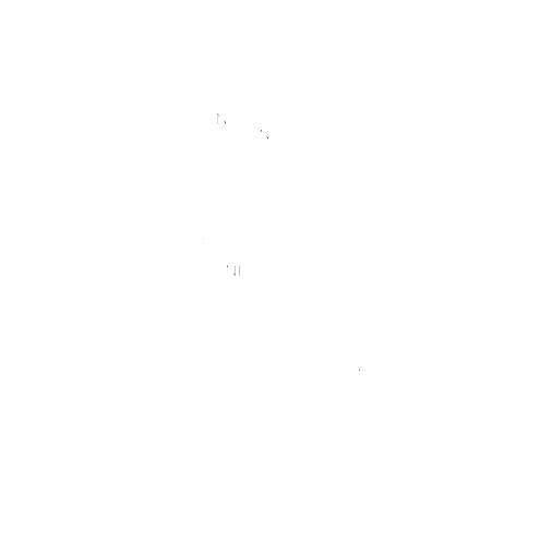 Cc1cccc(CNC(=O)c2cn[nH]c2)c1